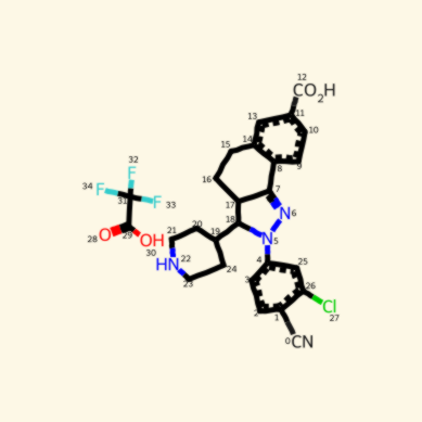 N#Cc1ccc(N2N=C3c4ccc(C(=O)O)cc4CCC3C2C2CCNCC2)cc1Cl.O=C(O)C(F)(F)F